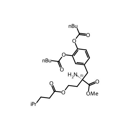 CCCCC(=O)Oc1ccc(C[C@](N)(CCOC(=O)CCC(C)C)C(=O)OC)cc1OC(=O)CCCC